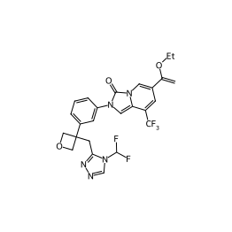 C=C(OCC)c1cc(C(F)(F)F)c2cn(-c3cccc(C4(Cc5nncn5C(F)F)COC4)c3)c(=O)n2c1